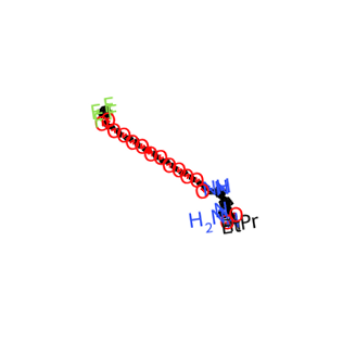 CCCN(OCC)C(=O)C1=Cc2ccc(-c3cncc(CNC(=O)CCOCCOCCOCCOCCOCCOCCOCCOCCOCCOCCC(=O)Oc4c(F)c(F)cc(F)c4F)c3)cc2N=C(N)C1